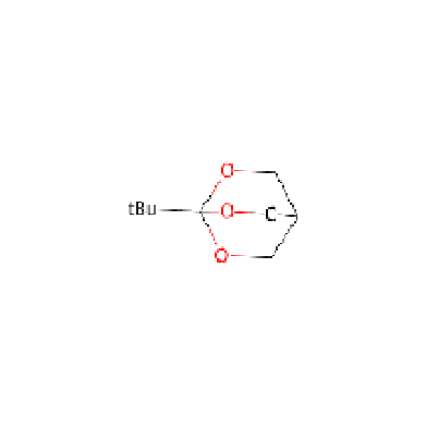 CC(C)(C)C12OCC(CO1)CO2